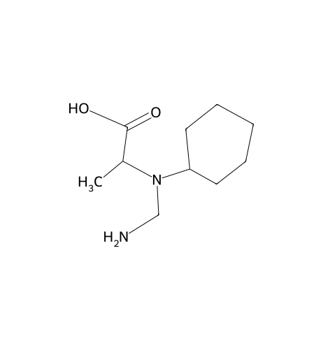 CC(C(=O)O)N(CN)C1CCCCC1